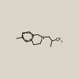 Cc1ccc2c(c1)CCN(CC(C)C(F)(F)F)C2